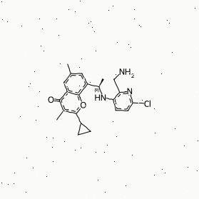 Cc1cc([C@@H](C)Nc2ccc(Cl)nc2CN)c2oc(C3CC3)c(C)c(=O)c2c1